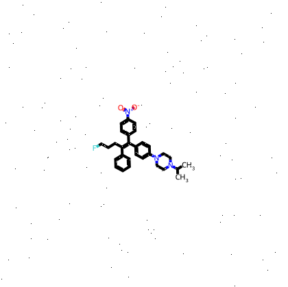 CC(C)N1CCN(c2ccc(/C(=C(/CCCF)c3ccccc3)c3ccc([N+](=O)[O-])cc3)cc2)CC1